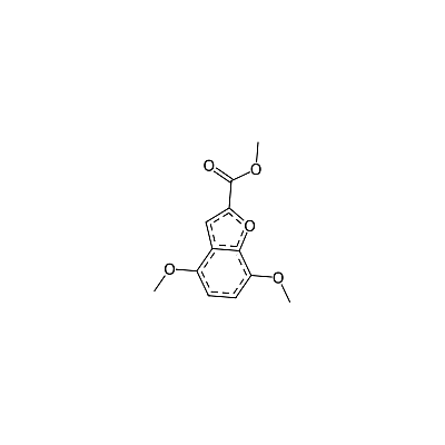 COC(=O)c1cc2c(OC)ccc(OC)c2o1